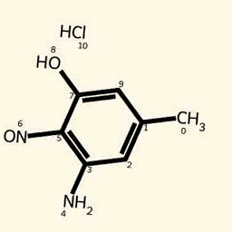 Cc1cc(N)c(N=O)c(O)c1.Cl